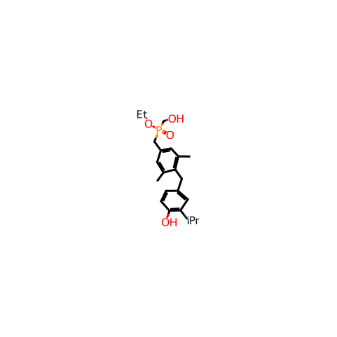 CCOP(=O)(CO)Cc1cc(C)c(Cc2ccc(O)c(C(C)C)c2)c(C)c1